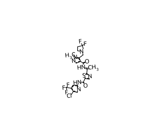 C[C@@H](NC(=O)c1cnn(C)c1CN1CCC(F)(F)C1)c1ncc(C(=O)Nc2cc(C(F)(F)F)c(Cl)cn2)s1